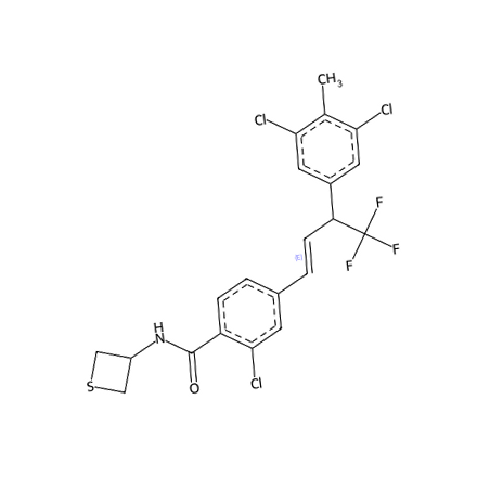 Cc1c(Cl)cc(C(/C=C/c2ccc(C(=O)NC3CSC3)c(Cl)c2)C(F)(F)F)cc1Cl